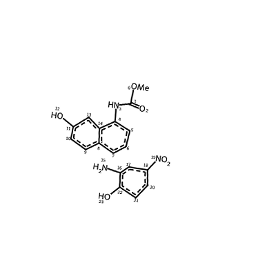 COC(=O)Nc1cccc2ccc(O)cc12.Nc1cc([N+](=O)[O-])ccc1O